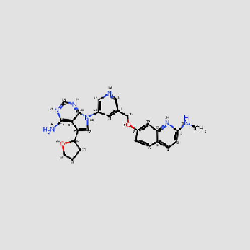 CNc1ccc2ccc(OCc3cncc(-n4cc([C@H]5CCCO5)c5c(N)ncnc54)c3)cc2n1